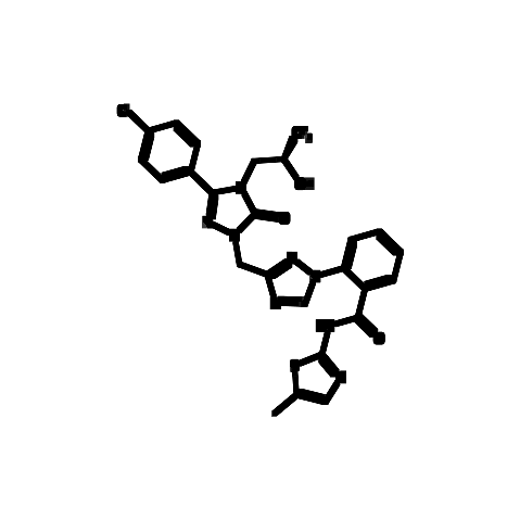 Cc1cnc(NC(=O)c2ccccc2-n2cnc(Cn3nc(-c4ccc(Cl)cc4)n(C[C@H](O)C(F)(F)F)c3=O)n2)s1